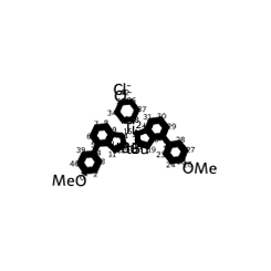 COc1ccc(-c2cccc3c2C=C(C(C)(C)C)[CH]3[Ti+2]2([CH]3C(C(C)(C)C)=Cc4c(-c5ccc(OC)cc5)cccc43)[CH]3CCCC[CH]32)cc1.[Cl-].[Cl-]